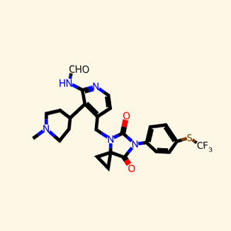 CN1CCC(c2c(CN3C(=O)N(c4ccc(SC(F)(F)F)cc4)C(=O)C34CC4)ccnc2NC=O)CC1